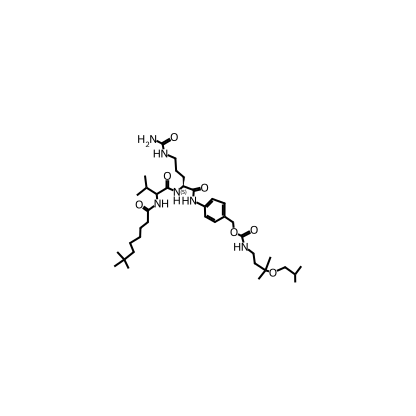 CC(C)COC(C)(C)CCNC(=O)OCc1ccc(NC(=O)[C@H](CCCNC(N)=O)NC(=O)C(NC(=O)CCCCCC(C)(C)C)C(C)C)cc1